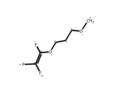 COCCCOC(F)=C(F)F